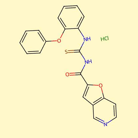 Cl.O=C(NC(=S)Nc1ccccc1Oc1ccccc1)c1cc2cnccc2o1